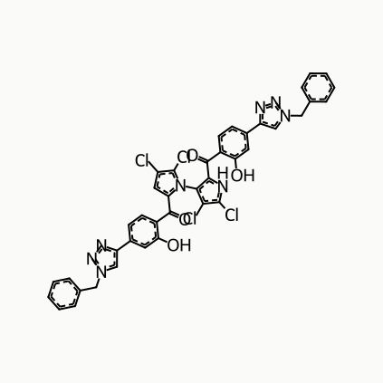 O=C(c1ccc(-c2cn(Cc3ccccc3)nn2)cc1O)c1[nH]c(Cl)c(Cl)c1-n1c(C(=O)c2ccc(-c3cn(Cc4ccccc4)nn3)cc2O)cc(Cl)c1Cl